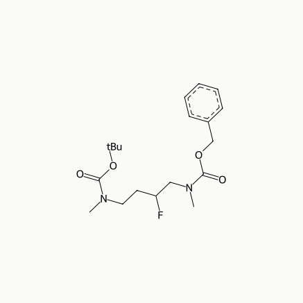 CN(CC(F)CCN(C)C(=O)OC(C)(C)C)C(=O)OCc1ccccc1